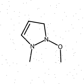 CON1CC=CN1C